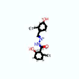 CCc1cc(O)ccc1C=NNC(=O)c1c(O)cccc1CC